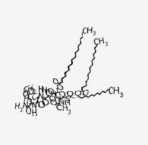 CCCCCCCCCCCCCCCCCC(=O)OC[C@H]1O[C@@H](SC(=O)C[C@@H](CCCCCCCCCCC)OC(=O)CCCCCCCCCCCCCCC)[C@H](NC(C)=O)[C@H](OC(C)C(=O)N[C@@H](C)C(=O)N[C@H](CCC(=O)OC)C(N)=O)[C@@H]1O